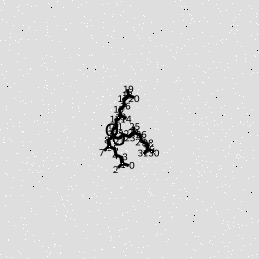 CC(C)=CCC/C(C)=C\C(OC/C=C(\C)CCC=C(C)C)OC/C=C(\C)CCC=C(C)C